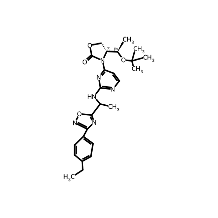 CCc1ccc(-c2noc(C(C)Nc3nccc(N4C(=O)OC[C@@H]4[C@@H](C)OC(C)(C)C)n3)n2)cc1